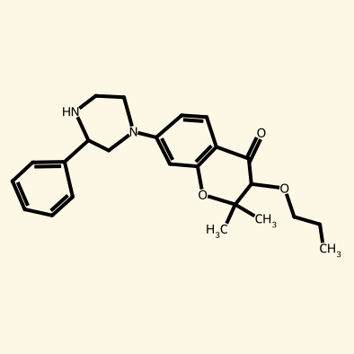 CCCOC1C(=O)c2ccc(N3CCNC(c4ccccc4)C3)cc2OC1(C)C